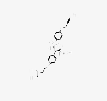 CC#CCOc1ccc(S(=O)(=O)NC(C(=O)NO)c2ccc(OCCN(C)C)cc2)cc1